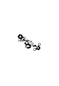 Cc1c(OCCN2C(=O)CCC2=O)ccnc1C[S+]([O-])c1nc2ccccc2[nH]1